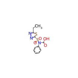 CCc1nnc(S(=O)(=O)N(C(=O)O)c2ccccc2)s1